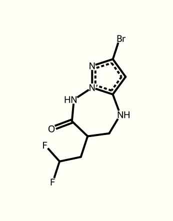 O=C1Nn2nc(Br)cc2NCC1CC(F)F